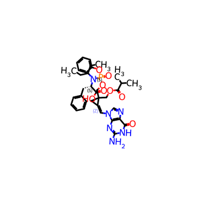 CCC(CC)N([C@@H](Cc1ccccc1)C(=O)O)[P@](=O)(OCC1(COC(=O)C(C)C)C/C1=C/n1cnc2c(=O)[nH]c(N)nc21)Oc1ccccc1